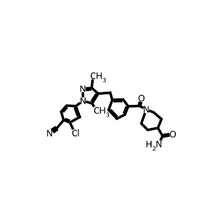 Cc1nn(-c2ccc(C#N)c(Cl)c2)c(C)c1Cc1cccc(C(=O)N2CCC(C(N)=O)CC2)c1